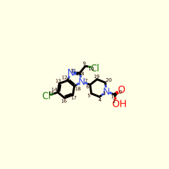 O=C(O)N1CCC(n2c(CCl)nc3cc(Cl)ccc32)CC1